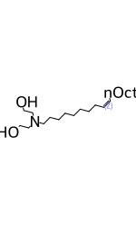 CCCCCCCC/C=C\CCCCCCCCN(CCO)CCO